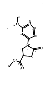 COC(=O)C1CC(=O)N(c2ccnc(OC)c2)C1